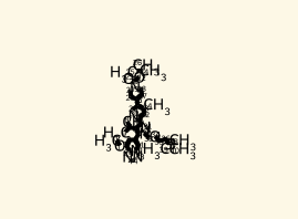 COc1cc(-c2c(C(C)C)c(-c3cc(C)c(C4=CCN(C(=O)OC(C)(C)C)CC4)cn3)nn2COCC[Si](C)(C)C)cn2ncnc12